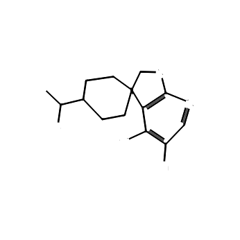 CC(O)C1CCC2(CC1)CNc1ncc(Br)c(Cl)c12